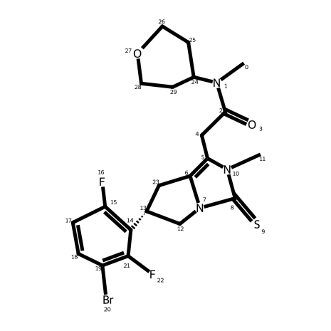 CN(C(=O)Cc1c2n(c(=S)n1C)C[C@H](c1c(F)ccc(Br)c1F)C2)C1CCOCC1